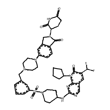 O=C1CCC(N2Cc3cc(N4CCN(Cc5cccc(S(=O)(=O)N6CCC(Nc7ncc8cc(C(F)F)c(=O)n(C9CCCC9)c8n7)CC6)c5)CC4)ccc3C2=O)C(=O)N1